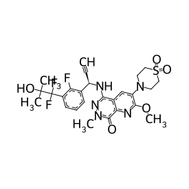 C#C[C@@H](Nc1nn(C)c(=O)c2nc(OC)c(N3CCS(=O)(=O)CC3)cc12)c1cccc(C(F)(F)C(C)(C)O)c1F